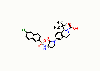 CC(C)(C)C1c2ccc(N3CC[C@H](NS(=O)(=O)c4ccc5cc(Cl)ccc5c4)C3=O)cc2CCN1C(=O)O